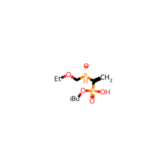 C=C([PH](=O)COCC)P(=O)(O)OC(C)CC